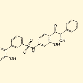 O=C(c1ccc(NS(=O)(=O)c2cccc(-c3ccccc3O)c2)cc1O)C(O)c1ccccc1